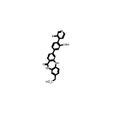 COc1cc(-c2ccc3c(c2)Nc2ccc(CC(=O)O)cc2NC3=O)ccc1-c1ccncc1F